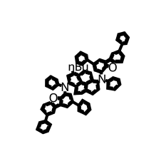 CCCCc1cc(N(c2ccccc2)c2cc(-c3ccccc3)cc3c2oc2ccc(-c4ccccc4)cc23)c2ccc3ccc(N(c4ccccc4)c4cc(-c5ccccc5)cc5c4oc4ccc(-c6ccccc6)cc45)c4ccc1c2c34